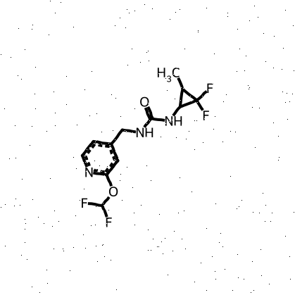 CC1C(NC(=O)NCc2ccnc(OC(F)F)c2)C1(F)F